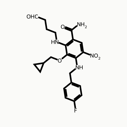 NC(=O)c1cc([N+](=O)[O-])c(NCc2ccc(F)cc2)c(OCC2CC2)c1NCCCC=O